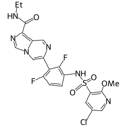 CCNC(=O)c1ncn2cc(-c3c(F)ccc(NS(=O)(=O)c4cc(Cl)cnc4OC)c3F)ncc12